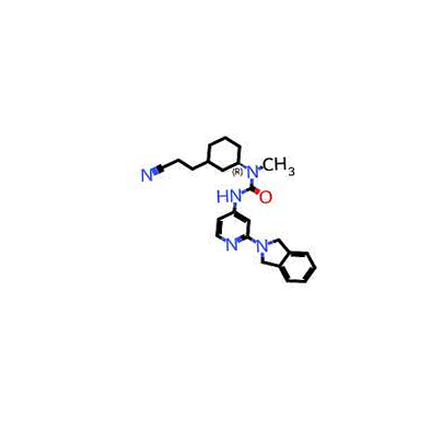 CN(C(=O)Nc1ccnc(N2Cc3ccccc3C2)c1)[C@@H]1CCCC(CCC#N)C1